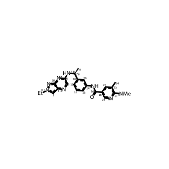 CCn1cc2ncc(N[C@@H](C)c3cccc(NC(=O)c4cnc(NC)c(C)c4)c3)nc2n1